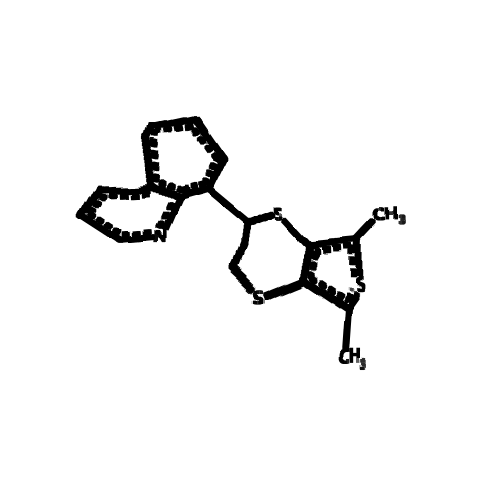 Cc1sc(C)c2c1SCC(c1cccc3cccnc13)S2